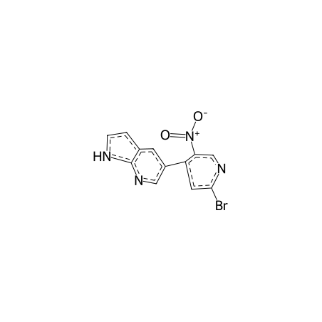 O=[N+]([O-])c1cnc(Br)cc1-c1cnc2[nH]ccc2c1